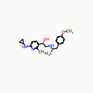 COc1ccc(C[C@@H](C)NC[C@H](O)c2ccc(NC3CC3)nc2C)cc1